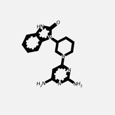 Nc1cc(N2CCCC(n3c(=O)[nH]c4ccccc43)C2)nc(N)n1